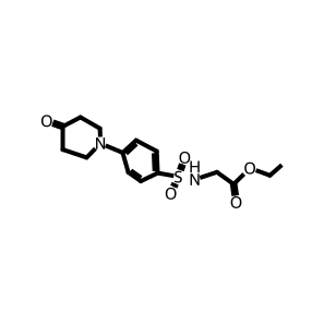 CCOC(=O)CNS(=O)(=O)c1ccc(N2CCC(=O)CC2)cc1